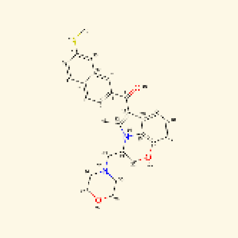 CSc1ccc2ccc(C(=O)c3c(C)n4c5c(cccc35)OCC4CN3CCOCC3)cc2c1